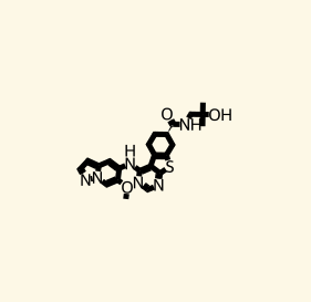 COc1cn2nccc2cc1Nc1ncnc2sc3c(c12)CC[C@H](C(=O)NCC(C)(C)O)C3